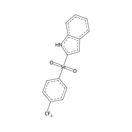 O=[Se](=O)(c1ccc(C(F)(F)F)cc1)c1cc2ccccc2[nH]1